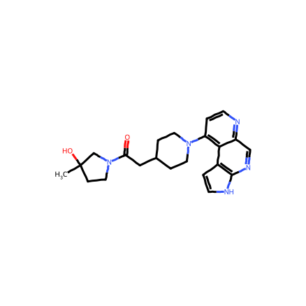 CC1(O)CCN(C(=O)CC2CCN(c3ccnc4cnc5[nH]ccc5c34)CC2)C1